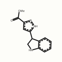 COC(=O)c1cc(C2CNc3ccccc32)[nH]n1